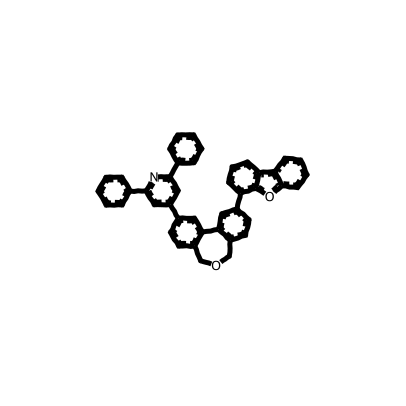 c1ccc(-c2cc(-c3ccc4c(c3)-c3cc(-c5cccc6c5oc5ccccc56)ccc3COC4)cc(-c3ccccc3)n2)cc1